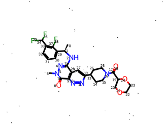 C[C@@H](Nc1nn(C)c(=O)c2nnc(C3CCN(C(=O)C4COCCO4)CC3)cc12)c1cccc(C(F)F)c1F